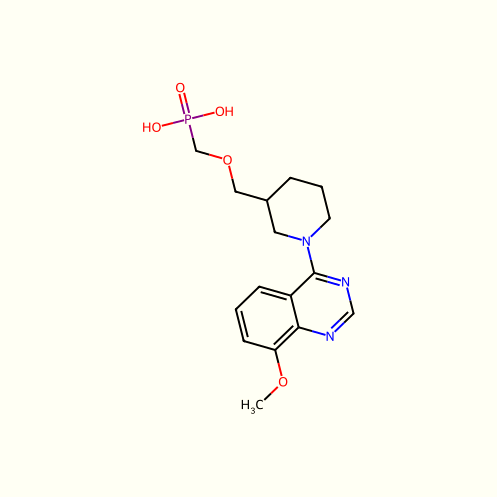 COc1cccc2c(N3CCCC(COCP(=O)(O)O)C3)ncnc12